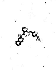 COc1ccc(CNc2ncccc2C(=O)Nc2cc3ccccc3cn2)cn1